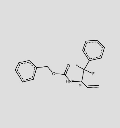 C=C[C@@H](NC(=O)OCc1ccccc1)C(F)(F)c1ccccc1